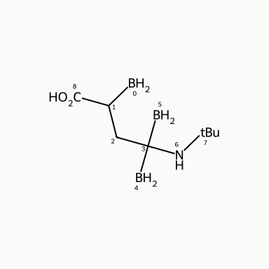 BC(CC(B)(B)NC(C)(C)C)C(=O)O